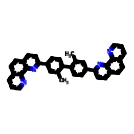 Cc1cc(-c2ccc3ccc4cccnc4c3n2)ccc1-c1ccc(-c2ccc3ccc4cccnc4c3n2)cc1C